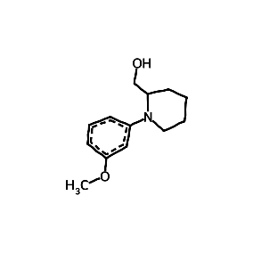 COc1cccc(N2CCCCC2CO)c1